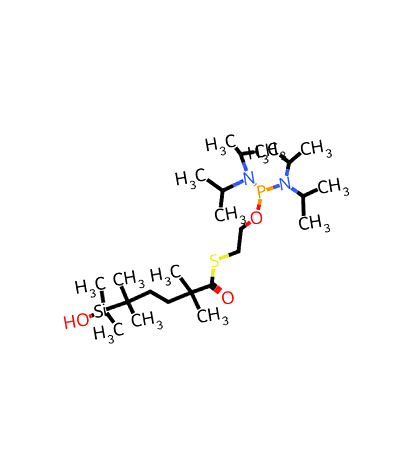 CC(C)N(C(C)C)P(OCCSC(=O)C(C)(C)CCC(C)(C)[Si](C)(C)O)N(C(C)C)C(C)C